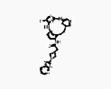 O=C(CC1CN(c2nc3cccnc3o2)C1)Nc1ccc2cc1CCC1C=NC=C(C1)Nc1ncc(Cl)c(n1)N2